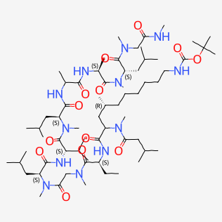 CC[C@H](NC(=O)C(C[C@H](C)CCCCCCNC(=O)OC(C)(C)C)N(C)C(=O)CC(C)C)C(=O)N(C)CC(=O)N(C)[C@@H](CC(C)C)C(=O)N[C@H](C(=O)N(C)[C@@H](CC(C)C)C(=O)NC(C)C(=O)N[C@@H](C)C(=O)N(C)[C@@H](CC(C)C)C(=O)N(C)CC(=O)NC)C(C)C